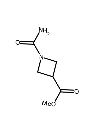 COC(=O)C1CN(C(N)=O)C1